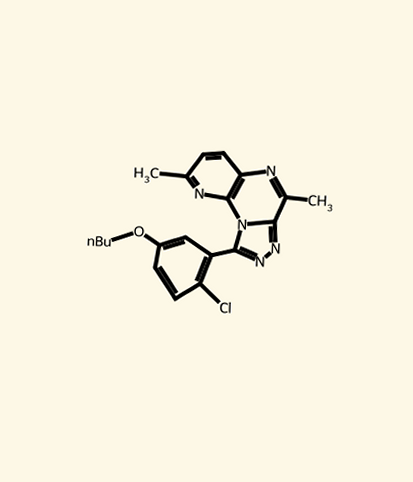 CCCCOc1ccc(Cl)c(-c2nnc3c(C)nc4ccc(C)nc4n23)c1